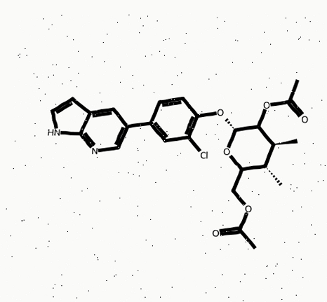 CC(=O)OCC1O[C@H](Oc2ccc(-c3cnc4[nH]ccc4c3)cc2Cl)C(OC(C)=O)[C@@H](C)[C@@H]1C